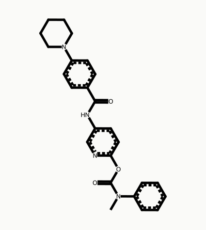 CN(C(=O)Oc1ccc(NC(=O)c2ccc(N3CCCCC3)cc2)cn1)c1ccccc1